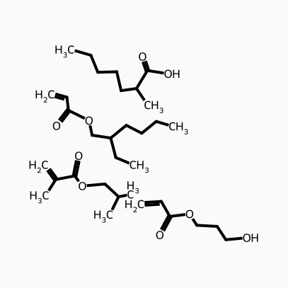 C=C(C)C(=O)OCC(C)C.C=CC(=O)OCC(CC)CCCC.C=CC(=O)OCCCO.CCCCCC(C)C(=O)O